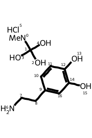 CNC(O)(O)O.Cl.NCCc1ccc(O)c(O)c1